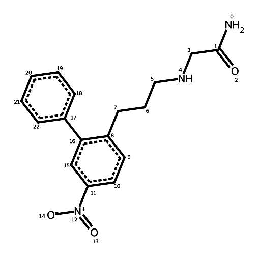 NC(=O)CNCCCc1ccc([N+](=O)[O-])cc1-c1ccccc1